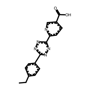 CCc1ccc(-c2nnc(-c3ccc(C(=O)O)cn3)nn2)cc1